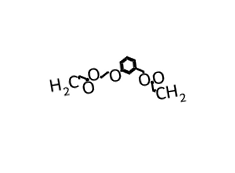 C=CC(=O)OCCOc1cccc(COC(=O)C=C)c1